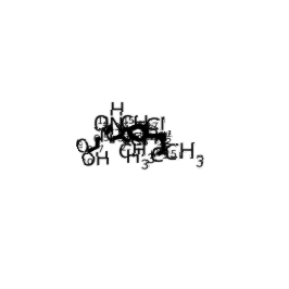 CC(C)C1=CN(CCC(=O)O)C(=O)N[C@@]1(C)c1ccc(C2CC2C(C)C)c(Cl)c1